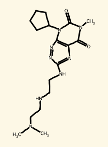 CN(C)CCNCCNc1nnc2c(n1)c(=O)n(C)c(=O)n2C1CCCC1